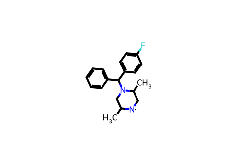 CC1CN(C(c2ccccc2)c2ccc(F)cc2)C(C)C[N]1